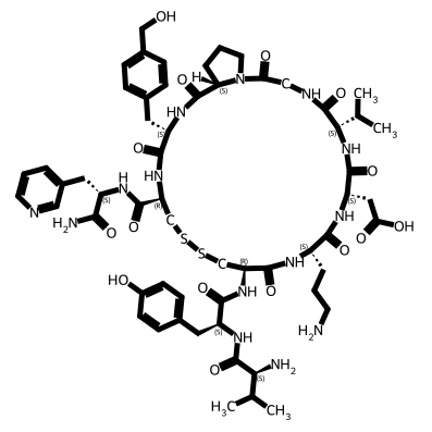 CC(C)[C@H](N)C(=O)N[C@@H](Cc1ccc(O)cc1)C(=O)N[C@H]1CSSC[C@@H](C(=O)N[C@@H](Cc2cccnc2)C(N)=O)NC(=O)[C@H](Cc2ccc(CO)cc2)NC(=O)[C@@H]2CCCN2C(=O)CNC(=O)[C@H](C(C)C)NC(=O)[C@H](CC(=O)O)NC(=O)[C@H](CCCN)NC1=O